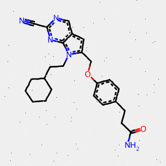 N#Cc1ncc2cc(COc3ccc(CCC(N)=O)cc3)n(CCC3CCCCC3)c2n1